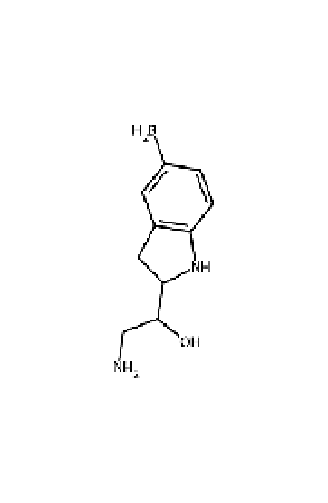 Bc1ccc2c(c1)CC(C(O)CN)N2